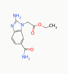 CCOC(=O)Cn1c(N)nc2ccc(C(N)=O)cc21